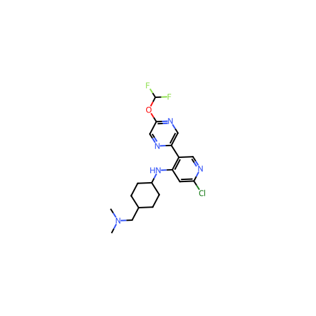 CN(C)CC1CCC(Nc2cc(Cl)ncc2-c2cnc(OC(F)F)cn2)CC1